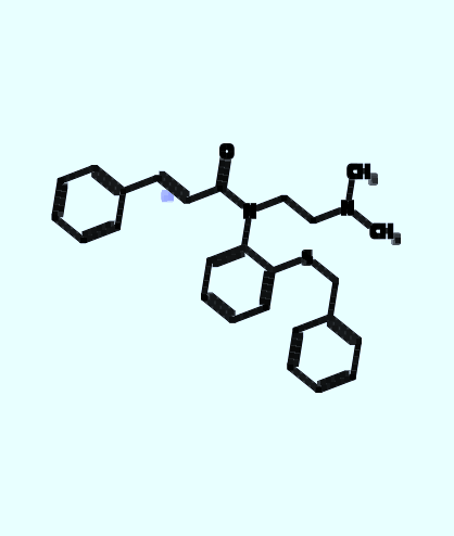 CN(C)CCN(C(=O)/C=C/c1ccccc1)c1ccccc1SCc1ccccc1